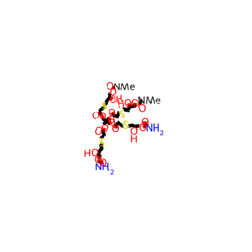 CNC(=O)OCC(O)CCSCCC(=O)OCC(COC(=O)CCSCCC(O)COC(N)=O)(COC(=O)CCSCCC(O)COC(N)=O)COC(=O)CCSCCC(O)COC(=O)NC